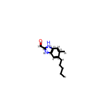 CCCCCc1cc2nc(C=O)[nH]c2cc1C